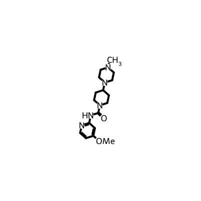 COc1ccnc(NC(=O)N2CCC(N3CCN(C)CC3)CC2)c1